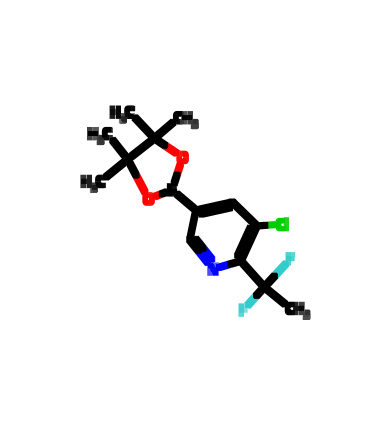 CC(F)(F)c1ncc(B2OC(C)(C)C(C)(C)O2)cc1Cl